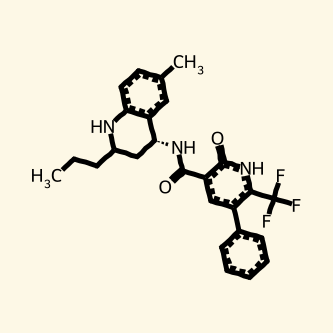 CCCC1C[C@@H](NC(=O)c2cc(-c3ccccc3)c(C(F)(F)F)[nH]c2=O)c2cc(C)ccc2N1